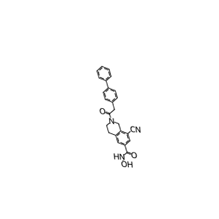 N#Cc1cc(C(=O)NO)cc2c1CN(C(=O)Cc1ccc(-c3ccccc3)cc1)CC2